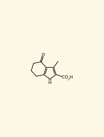 Cc1c(C(=O)O)[nH]c2c1C(=O)CCC2